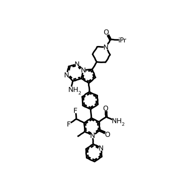 Cc1c(C(F)F)c(-c2ccc(-c3cc(C4CCN(C(=O)C(C)C)CC4)n4ncnc(N)c34)cc2)c(C(N)=O)c(=O)n1-c1ccccn1